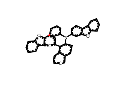 c1ccc(N(c2ccc3c(c2)oc2ccccc23)c2ccc3ccccc3c2-c2ccc3oc4ccccc4c3c2)cc1